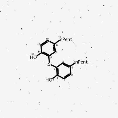 CCCCCc1ccc(O)c(Sc2cc(CCCCC)ccc2O)c1